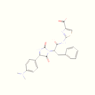 CN(C)c1ccc(C2NC(=O)N(C(Cc3ccccc3)C(=O)Nc3nc(C(=O)O)cs3)C2=O)cc1